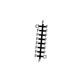 FC(F)(Cl)C(F)(F)C(F)(F)C(F)(F)C(F)(F)C(F)(F)C(F)(F)C(F)(F)Cl